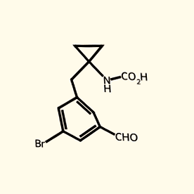 O=Cc1cc(Br)cc(CC2(NC(=O)O)CC2)c1